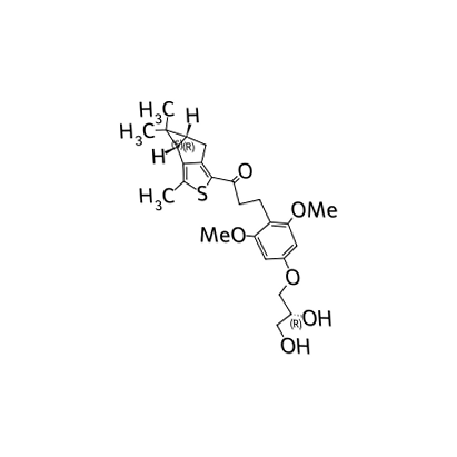 COc1cc(OC[C@H](O)CO)cc(OC)c1CCC(=O)c1sc(C)c2c1C[C@@H]1[C@H]2C1(C)C